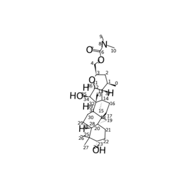 C[C@@H]1C[C@H](COC(=O)N(C)C)O[C@H]2[C@H]1[C@@]1(C)CC[C@@]34C[C@@]35CC[C@H](O)C(C)(C)[C@@H]5CC[C@H]4[C@]1(C)[C@H]2O